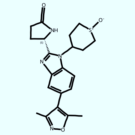 Cc1noc(C)c1-c1ccc2c(c1)nc([C@@H]1CCC(=O)N1)n2C1CC[S+]([O-])CC1